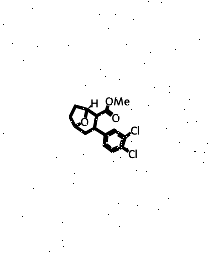 COC(=O)C1C(c2ccc(Cl)c(Cl)c2)CC2CC[C@@H]1O2